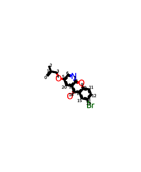 C=C(C)COc1cnc2oc3ccc(Br)cc3c(=O)c2c1